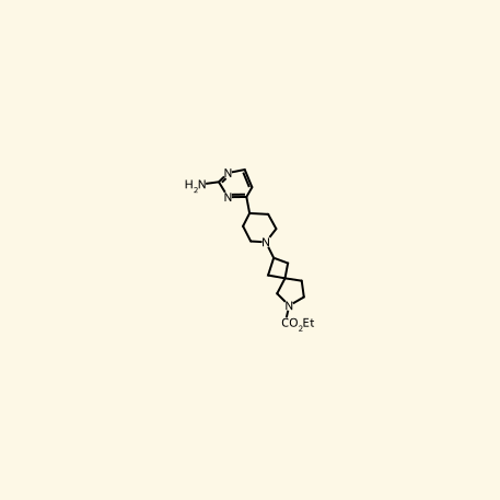 CCOC(=O)N1CCC2(CC(N3CCC(c4ccnc(N)n4)CC3)C2)C1